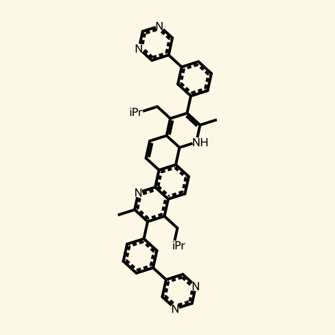 CC1=C(c2cccc(-c3cncnc3)c2)C(CC(C)C)=C2C=Cc3c(ccc4c(CC(C)C)c(-c5cccc(-c6cncnc6)c5)c(C)nc34)C2N1